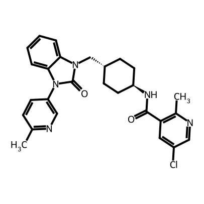 Cc1ccc(-n2c(=O)n(C[C@H]3CC[C@H](NC(=O)c4cc(Cl)cnc4C)CC3)c3ccccc32)cn1